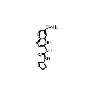 NOC1=CC2NC(NC(=O)NC3CCCC3)=CC=C2N=C1